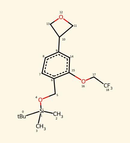 CC(C)(C)[Si](C)(C)OCc1ccc(C2COC2)cc1OCC(F)(F)F